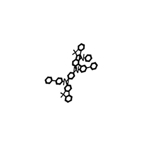 CC1(C)c2ccccc2-c2ccc(N(c3ccc(-c4ccccc4)cc3)c3ccc(-n4c5ccc(-c6ccccc6)cc5c5c6c(ccc54)c4c(n6-c5ccccc5)-c5ccccc5C4(C)C)cc3)cc21